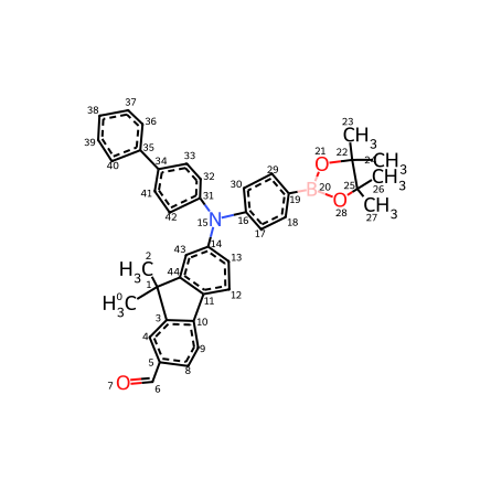 CC1(C)c2cc(C=O)ccc2-c2ccc(N(c3ccc(B4OC(C)(C)C(C)(C)O4)cc3)c3ccc(-c4ccccc4)cc3)cc21